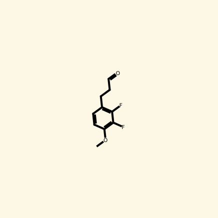 COc1ccc(CCC=O)c(F)c1F